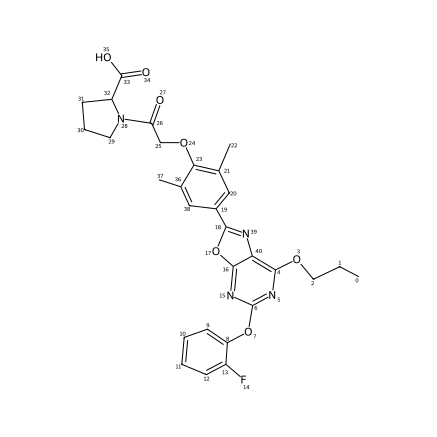 CCCOc1nc(Oc2ccccc2F)nc2oc(-c3cc(C)c(OCC(=O)N4CCCC4C(=O)O)c(C)c3)nc12